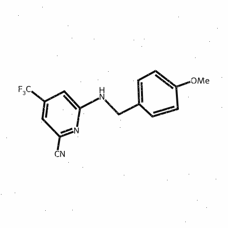 COc1ccc(CNc2cc(C(F)(F)F)cc(C#N)n2)cc1